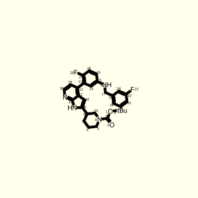 CC(C)(C)OC(=O)N1CCCC(c2cc3c(-c4cc(NCc5cccc(F)c5)ccc4F)ccnc3[nH]2)C1